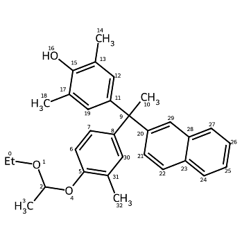 CCOC(C)Oc1ccc(C(C)(c2cc(C)c(O)c(C)c2)c2ccc3ccccc3c2)cc1C